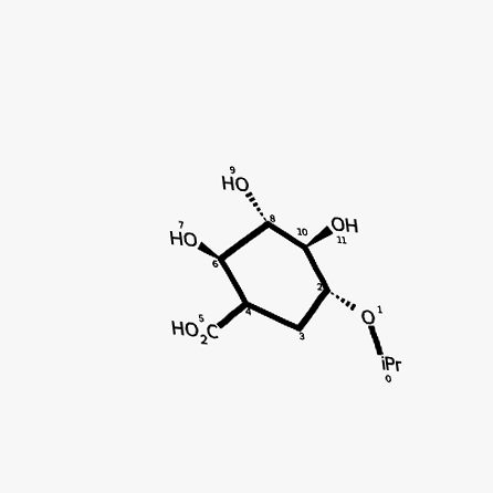 CC(C)O[C@@H]1CC(C(=O)O)[C@@H](O)[C@H](O)[C@H]1O